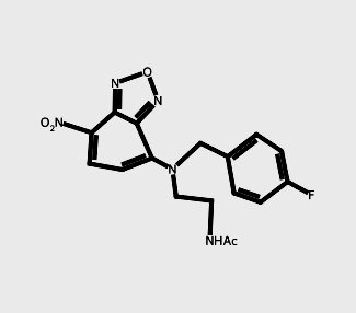 CC(=O)NCCN(Cc1ccc(F)cc1)c1ccc([N+](=O)[O-])c2nonc12